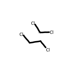 ClCCCl.Cl[C]Cl